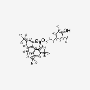 CCc1cc(CCCOp2oc3cc(C(C)(C)C)cc(C(C)(C)C)c3c3cc(C(C)(C)C)cc(C(C)(C)C)c3o2)cc(C)c1O